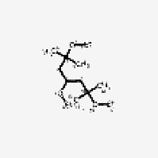 CCOC(CC(C)(C)OCC)CC(C)(C)OCC